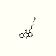 BrCCCCCCc1c[c]cc2c1Nc1ccccc1S2